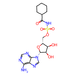 Nc1ncnc2c1ncn2[C@@H]1O[C@H](COS(=O)(=O)NC(=O)C2CCCCC2)[C@@H](O)[C@H]1O